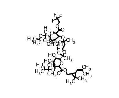 CC(C)=CC1C(COC(=O)C2O[C@@H](C(C)(C)OCCC(C)(C)O[C@@H]3C(C(=O)OCC(F)(F)F)O[C@@H](C(C)(C)OC(C)C)[C@@H](O)[C@H]3O)[C@@H](O)[C@@H](O)[C@@H]2OC(C)(C)C(C)C)C1(C)C